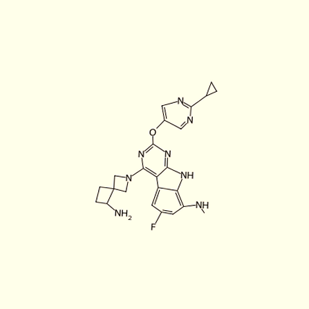 CNc1cc(F)cc2c1[nH]c1nc(Oc3cnc(C4CC4)nc3)nc(N3CC4(CCC4N)C3)c12